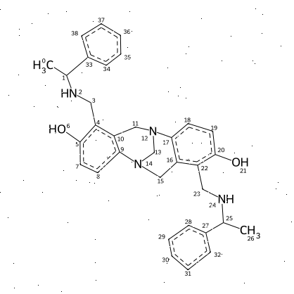 CC(NCc1c(O)ccc2c1CN1CN2Cc2c1ccc(O)c2CNC(C)c1ccccc1)c1ccccc1